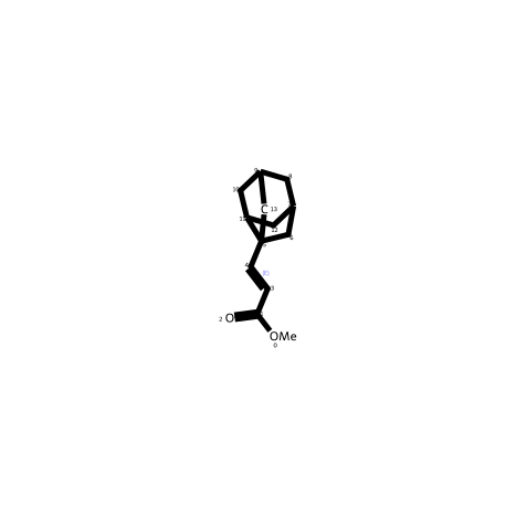 COC(=O)/C=C/C12CC3CC(CC1C3)C2